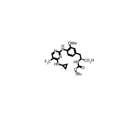 COc1cc(C[C@H](NC(=O)OC(C)(C)C)C(=O)O)ccc1Nc1ncc(C(F)(F)F)c(NC2CC2)n1